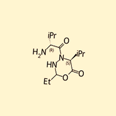 CCC1NN(C(=O)[C@H](N)C(C)C)[C@@H](C(C)C)C(=O)O1